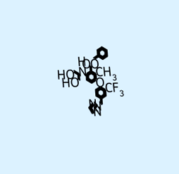 Cc1c(Oc2ccc(Cn3nccn3)cc2C(F)(F)F)ccc(NC(CO)CO)c1C(=O)OCc1ccccc1